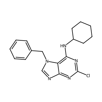 Clc1nc(NC2CCCCC2)c2c(ncn2Cc2ccccc2)n1